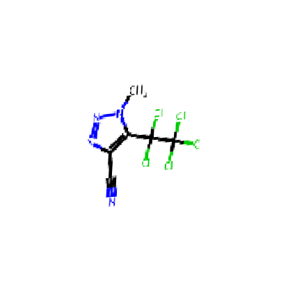 Cn1nnc(C#N)c1C(Cl)(Cl)C(Cl)(Cl)Cl